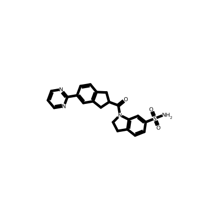 NS(=O)(=O)c1ccc2c(c1)N(C(=O)C1Cc3ccc(-c4ncccn4)cc3C1)CC2